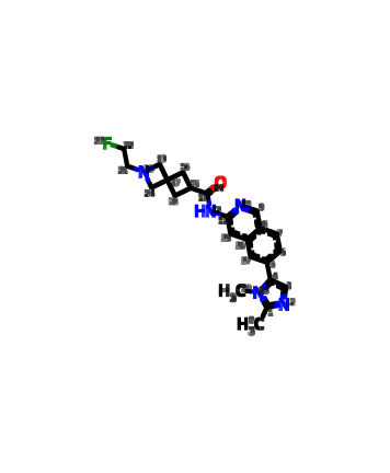 Cc1ncc(-c2ccc3cnc(NC(=O)C4CC5(C4)CN(CCF)C5)cc3c2)n1C